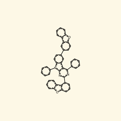 c1ccc(-c2nc(-c3cccc4oc5ccccc5c34)nc3c2c2cc(-c4ccc5oc6ccccc6c5c4)ccc2n3-c2ccccc2)cc1